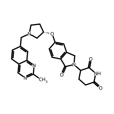 Cc1ncc2ccc(CN3CC[C@H](Oc4ccc5c(c4)CN(C4CCC(=O)NC4=O)C5=O)C3)cc2n1